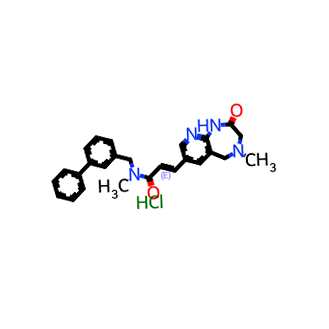 CN1CC(=O)Nc2ncc(/C=C/C(=O)N(C)Cc3cccc(-c4ccccc4)c3)cc2C1.Cl